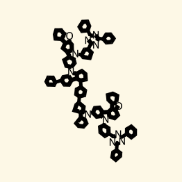 c1ccc(-c2ccc3c4c(-c5ccc(-c6ccc7c8ccccc8n(-c8ccc9c%10c%11c(ccc%10n(-c%10cccc(-c%12nc(-c%13ccccc%13)nc(-c%13ccccc%13)n%12)c%10)c9c8)oc8ccccc8%11)c7c6)cc5)cccc4n(-c4ccc5c6cc7c(cc6n(-c6cccc(-c8nc(-c9ccccc9)nc(-c9ccccc9)n8)c6)c5c4)oc4ccccc47)c3c2)cc1